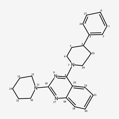 c1ccc(C2CCN(c3nc(N4CCCCC4)nc4ccccc34)CC2)cc1